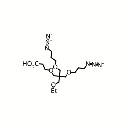 CCOCC(COCCCN=[N+]=[N-])(COCCCN=[N+]=[N-])COCCC(=O)O